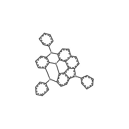 c1ccc(N2c3cccc4c3B3c5c2ccc2ccc6c(c52)c2c3c(ccc2n6-c2ccccc2)N4c2ccccc2)cc1